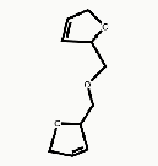 C1=CC(COCC2C=CCO2)OC1